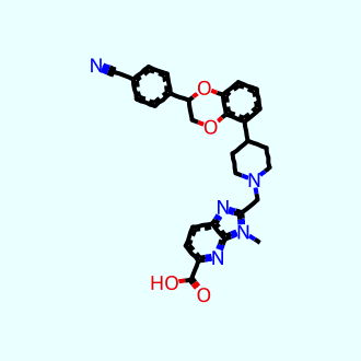 Cn1c(CN2CCC(c3cccc4c3OCC(c3ccc(C#N)cc3)O4)CC2)nc2ccc(C(=O)O)nc21